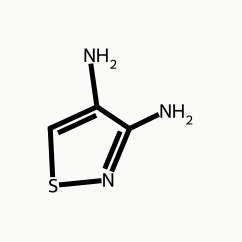 Nc1csnc1N